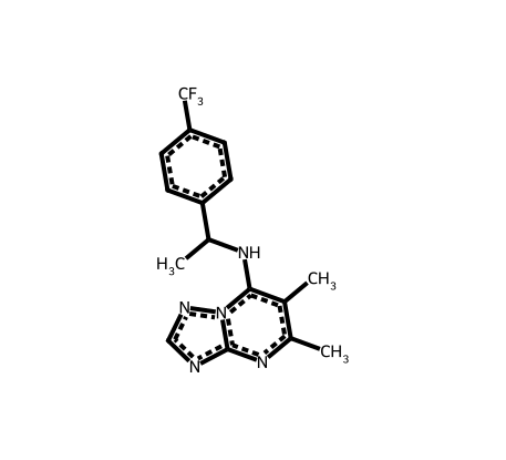 Cc1nc2ncnn2c(NC(C)c2ccc(C(F)(F)F)cc2)c1C